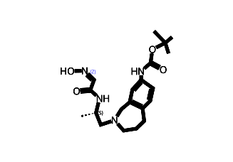 C[C@@H](CN1CCCc2ccc(NC(=O)OC(C)(C)C)cc2C1)NC(=O)/C=N\O